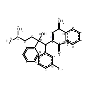 C=C(/C=C(\C(N)=O)C(c1cccc(F)c1)C(O)(CCN(C)C)C1=C=C=CC=C1)c1ccccc1